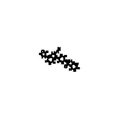 N#Cc1cc2c(-c3ccoc3)cccc2n1-c1ccc(NC(=O)c2cccnc2)cc1